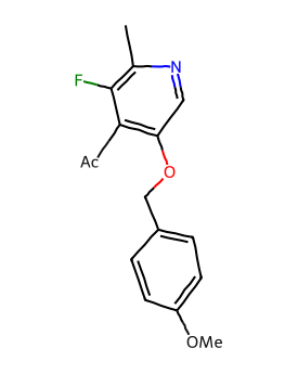 COc1ccc(COc2cnc(C)c(F)c2C(C)=O)cc1